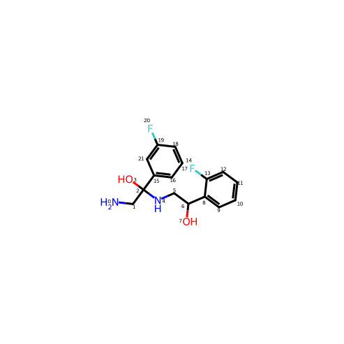 NCC(O)(NCC(O)c1ccccc1F)c1cccc(F)c1